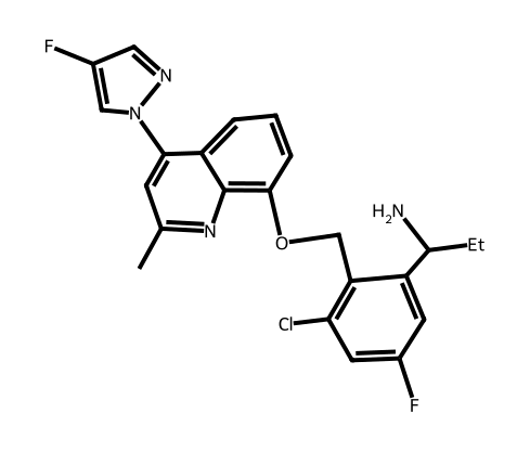 CCC(N)c1cc(F)cc(Cl)c1COc1cccc2c(-n3cc(F)cn3)cc(C)nc12